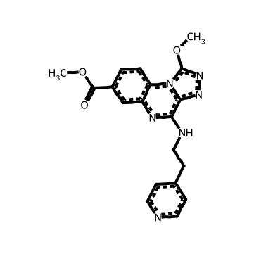 COC(=O)c1ccc2c(c1)nc(NCCc1ccncc1)c1nnc(OC)n12